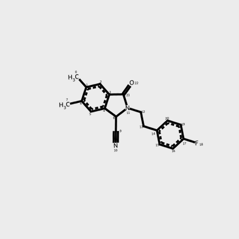 Cc1cc2c(cc1C)C(C#N)N(CCc1ccc(F)cc1)C2=O